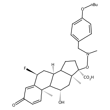 CCCCOc1ccc(CN(C)O[C@]2(C(=O)O)CCC3[C@@H]4C[C@H](F)C5=CC(=O)C=C[C@]5(C)C4[C@@H](O)C[C@@]32C)cc1